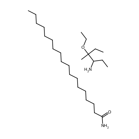 CCCCCCCCCCCCCCCCCC(N)=O.CCOC(C)(CC)C(N)CC